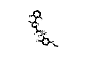 CCOc1ccc(Cl)c(S(=O)(=O)NC(=O)c2cn(C)c(-c3c(F)cccc3F)n2)c1